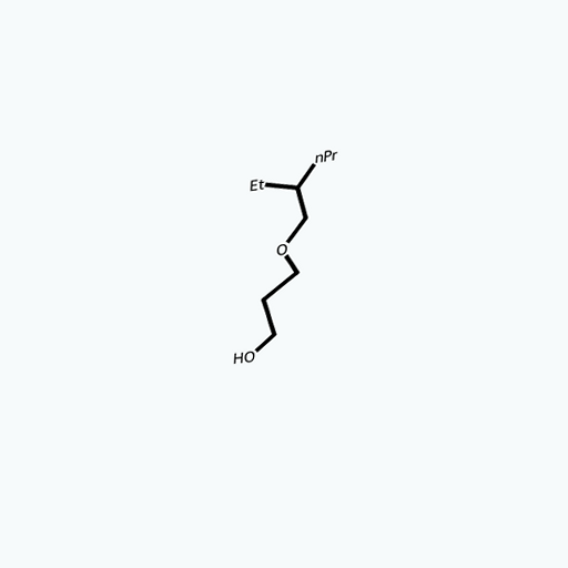 CCCC(CC)COCCCO